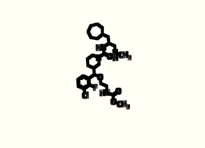 CNCC(CC1CCCCCC1)NC(=O)N1CCCC([C@@H](OCCNC(=O)OC)c2cccc(Cl)c2F)C1